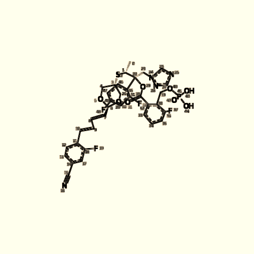 C[C@@H](S[C@H]1CO[C@H](/C=C/C=C/c2ccc(C#N)cc2F)OC1)[C@@](Cn1cncn1)(OC(=O)c1cccc(F)c1COP(=O)(O)O)c1ccc(F)cc1F